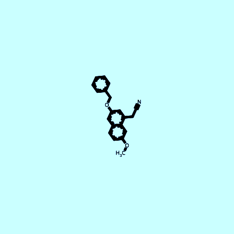 COc1ccc2cc(OCc3ccccc3)cc(CC#N)c2c1